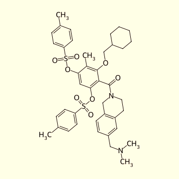 Cc1ccc(S(=O)(=O)Oc2cc(OS(=O)(=O)c3ccc(C)cc3)c(C(=O)N3CCc4cc(CN(C)C)ccc4C3)c(OCC3CCCCC3)c2C)cc1